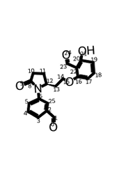 O=Cc1cccc(N2C(=O)CC[C@H]2CCOc2cccc(O)c2C=O)c1